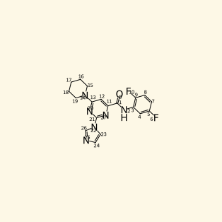 O=C(Nc1cc(F)ccc1F)c1cc(N2CCCCC2)nc(-n2ccnc2)n1